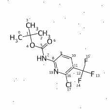 CC(C)(C)OC(=O)Nc1ccc(C(F)(F)F)c(Cl)n1